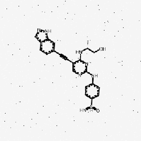 C[C@H](CO)Nc1nc(Nc2ccc([SH](=N)=O)cc2)ncc1C#Cc1ccc2cn[nH]c2c1